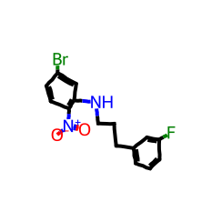 O=[N+]([O-])c1ccc(Br)cc1NCCCc1cccc(F)c1